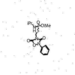 COP(=O)(NC(C)C)SCn1c(=O)on(-c2ccccc2)c1=O